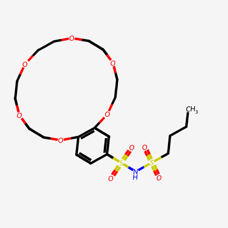 CCCCS(=O)(=O)NS(=O)(=O)c1ccc2c(c1)OCCOCCOCCOCCOCCO2